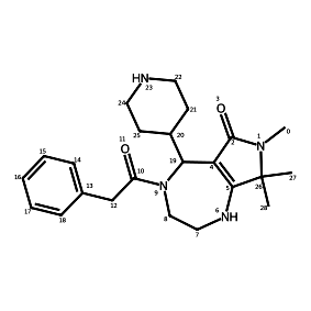 CN1C(=O)C2=C(NCCN(C(=O)Cc3ccccc3)C2C2CCNCC2)C1(C)C